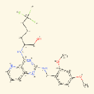 COc1ccc(CNc2nc(NC(CO)CCCC(F)(F)F)c3ncccc3n2)c(OC)c1